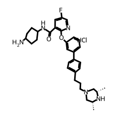 C[C@@H]1CN(CCCc2ccc(-c3cccc(Oc4ncc(F)cc4C(=O)NC4CCC(N)CC4)c3)cc2)C[C@H](C)N1.Cl